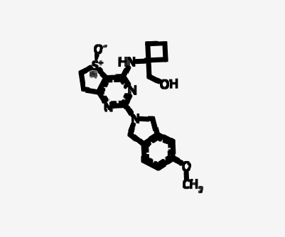 COc1ccc2c(c1)CN(c1nc3c(c(NC4(CO)CCC4)n1)[S@+]([O-])CC3)C2